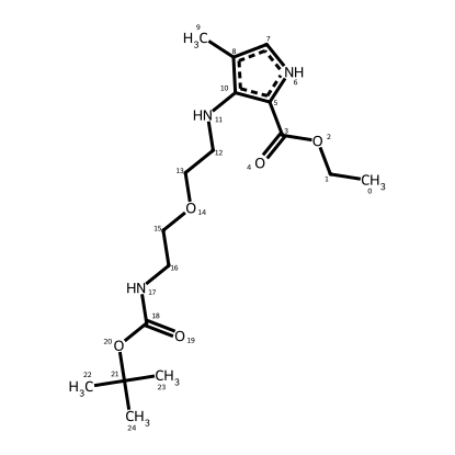 CCOC(=O)c1[nH]cc(C)c1NCCOCCNC(=O)OC(C)(C)C